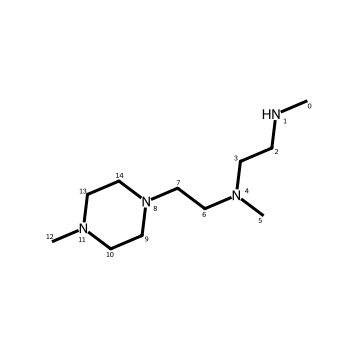 CNCCN(C)CCN1CCN(C)CC1